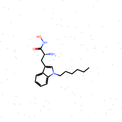 CCCCCCn1cc(C[C@H](N)C(=O)NO)c2ccccc21